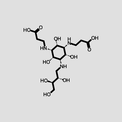 O=C(O)CCN[C@@H]1[C@H](O)[C@H](NCCC(=O)O)[C@H](O)[C@H](NC[C@H](O)[C@H](O)CO)[C@@H]1O